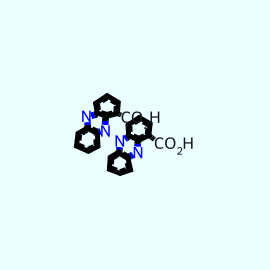 O=C(O)c1cccc2nc3ccccc3nc12.O=C(O)c1cccc2nc3ccccc3nc12